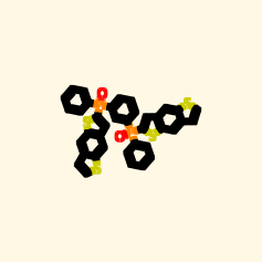 O=P(c1ccccc1)(c1cccc(P(=O)(c2ccccc2)c2cc3cc4sccc4cc3s2)c1)c1cc2cc3sccc3cc2s1